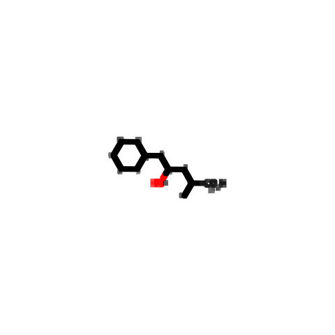 CC(CC(O)C[C]1CCCCC1)C(=O)O